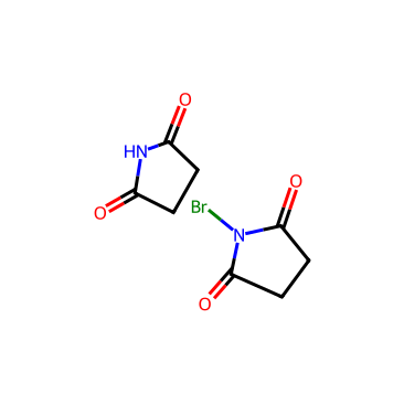 O=C1CCC(=O)N1.O=C1CCC(=O)N1Br